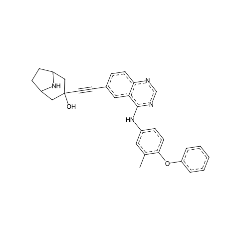 Cc1cc(Nc2ncnc3ccc(C#CC4(O)CC5CCC(C4)N5)cc23)ccc1Oc1ccccc1